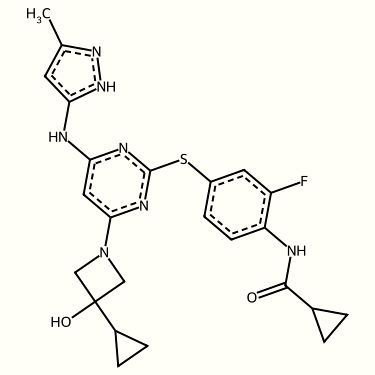 Cc1cc(Nc2cc(N3CC(O)(C4CC4)C3)nc(Sc3ccc(NC(=O)C4CC4)c(F)c3)n2)[nH]n1